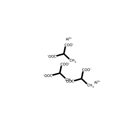 CC(C(=O)[O-])C(=O)[O-].CC(C(=O)[O-])C(=O)[O-].CC(C(=O)[O-])C(=O)[O-].[Al+3].[Al+3]